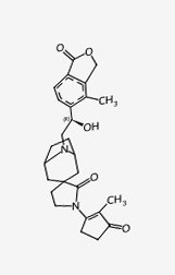 CC1=C(N2CCC3(CC4CCC(C3)N4C[C@H](O)c3ccc4c(c3C)COC4=O)C2=O)CCC1=O